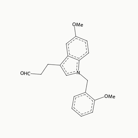 COc1ccc2c(c1)c(CCC=O)cn2Cc1ccccc1OC